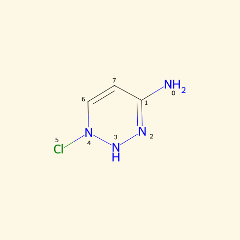 NC1=NNN(Cl)C=C1